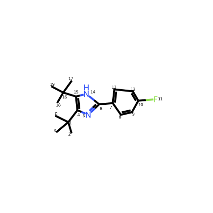 CC(C)(C)c1nc(-c2ccc(F)cc2)[nH]c1C(C)(C)C